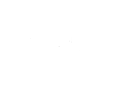 O=C(Cc1ccccc1)NOCc1ccccc1